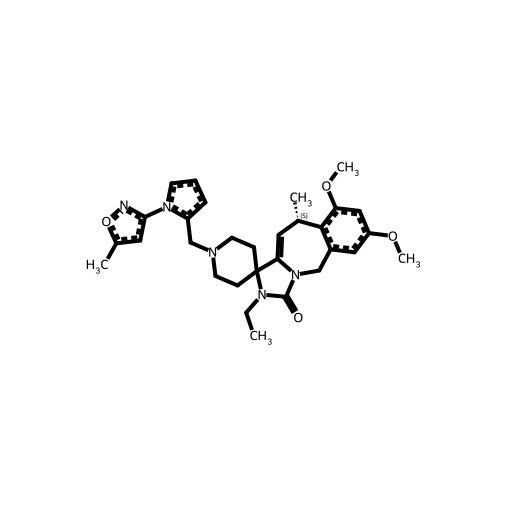 CCN1C(=O)N2Cc3cc(OC)cc(OC)c3[C@@H](C)C=C2C12CCN(Cc1cccn1-c1cc(C)on1)CC2